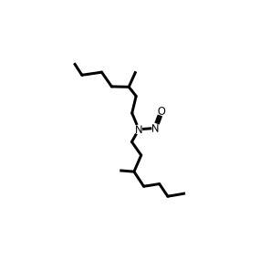 CCCCC(C)CCN(CCC(C)CCCC)N=O